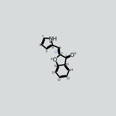 O=C1/C(=C/c2ccc[nH]2)Oc2ccccc21